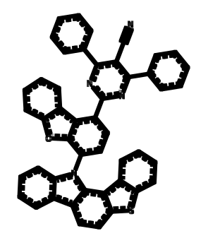 N#Cc1c(-c2ccccc2)nc(-c2ccc(-n3c4ccccc4c4ccc5sc6ccccc6c5c43)c3oc4ccccc4c23)nc1-c1ccccc1